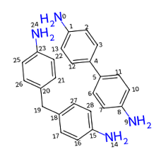 Nc1ccc(-c2ccc(N)cc2)cc1.Nc1ccc(Cc2ccc(N)cc2)cc1